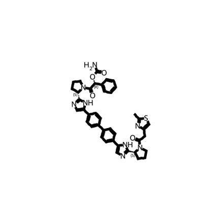 Cc1nc(CC(=O)N2CCC[C@H]2c2ncc(-c3ccc(-c4ccc(-c5cnc([C@@H]6CCCN6C(=O)[C@H](OC(N)=O)c6ccccc6)[nH]5)cc4)cc3)[nH]2)cs1